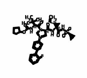 C=C[C@@H]1C[C@]1(NC(=O)[C@@H]1CN(c2ccc(-c3ccccc3F)cc2)CN1C(=O)[C@@H](NC(=O)OC1CCCC1)C(C)(C)C)C(=O)NS(=O)(=O)C1CC1